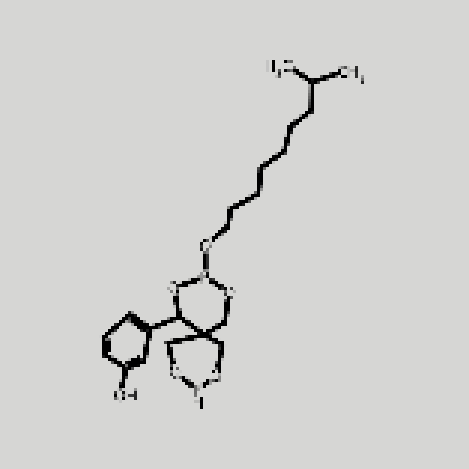 CC(C)CCCCCCCOP1OCC2(COPOC2)C(c2cccc(O)c2)O1